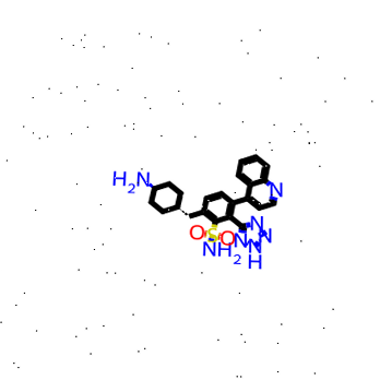 NS(=O)(=O)c1c(C[C@H]2CC[C@H](N)CC2)ccc(-c2ccnc3ccccc23)c1-c1nn[nH]n1